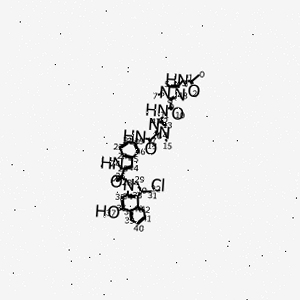 CC(=O)Nc1cn(C)c(C(=O)Nc2cn(C)c(C(=O)Nc3ccc4[nH]c(C(=O)N5CC(CCl)c6c5cc(O)c5ccccc65)cc4c3)n2)n1